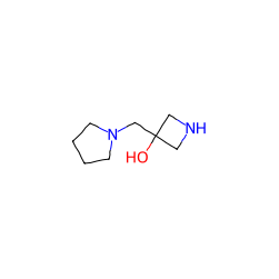 OC1(CN2CCCC2)CNC1